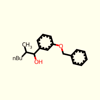 CCCCC(C)C(O)c1cccc(OCc2ccccc2)c1